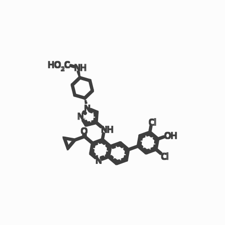 O=C(O)N[C@H]1CC[C@H](n2cc(Nc3c(C(=O)C4CC4)cnc4ccc(-c5cc(Cl)c(O)c(Cl)c5)cc34)cn2)CC1